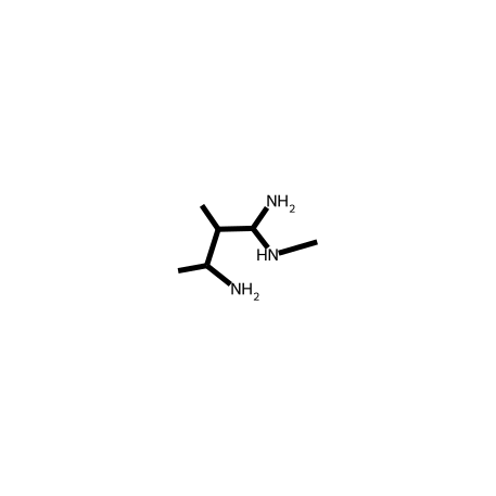 CNC(N)C(C)C(C)N